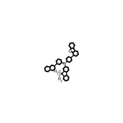 CC1(C)c2ccccc2-c2ccc(N(c3ccc(-c4cccc5c4oc4ccccc45)cc3)c3cccc(-c4ccc5ccccc5c4)c3)cc21